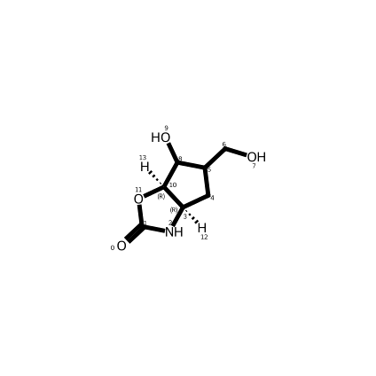 O=C1N[C@@H]2CC(CO)C(O)[C@@H]2O1